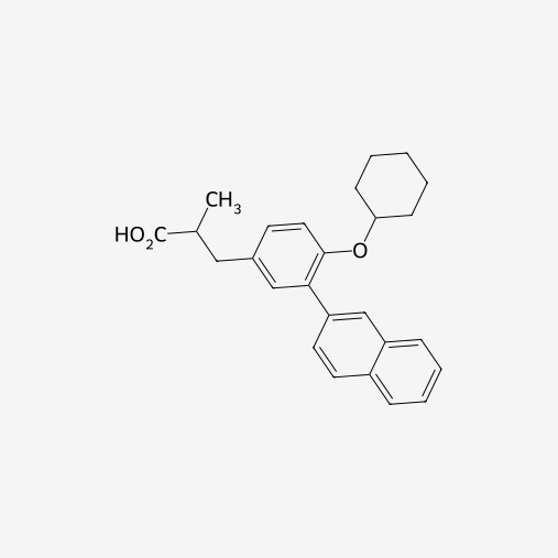 CC(Cc1ccc(OC2CCCCC2)c(-c2ccc3ccccc3c2)c1)C(=O)O